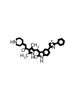 Cc1[nH]c(/C=C2\C(=O)Nc3ccc(-c4csc(-c5ccccc5)n4)cc32)c(C)c1C(=O)/C=C1/CCCNCC1